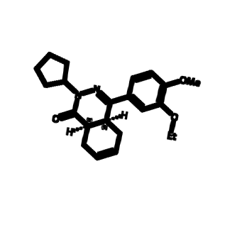 CCOc1cc(C2=NN(C3CCCC3)C(=O)[C@@H]3CC=CC[C@H]23)ccc1OC